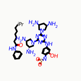 CC(C)CCCCCC(=O)Nc1ccccc1.N[C@@H]1C[C@H](N)CN(c2nc(Nc3ccc(N=S(=O)=O)c(O)c3)nc(N3C[C@H](N)C[C@H](N)C3)n2)C1